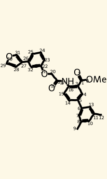 COC(=O)c1cc(-c2cc(C)cc(C)c2)ccc1NC(=O)COc1cccc(-c2ccoc2)c1